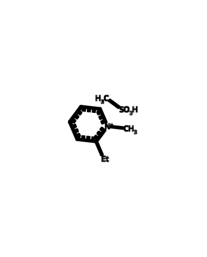 CCc1cccc[n+]1C.CS(=O)(=O)O